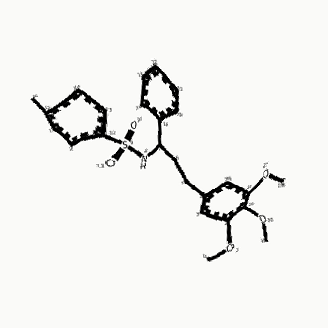 COc1cc(CCC(NS(=O)(=O)c2ccc(C)cc2)c2ccccc2)cc(OC)c1OC